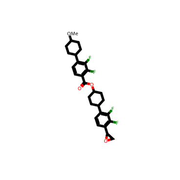 COC1CCC(c2ccc(C(=O)OC3CCC(c4ccc(C5CO5)c(F)c4F)CC3)c(F)c2F)CC1